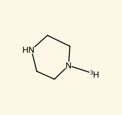 [3H]N1CCNCC1